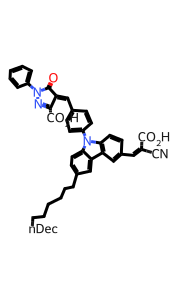 CCCCCCCCCCCCCCCCc1ccc2c(c1)c1cc(/C=C(/C#N)C(=O)O)ccc1n2-c1ccc(/C=C2/C(=O)N(c3ccccc3)N=C2C(=O)O)cc1